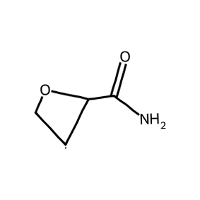 NC(=O)C1[CH]CO1